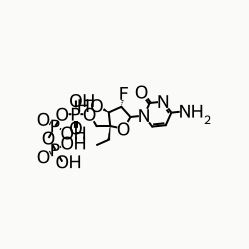 CC[C@]1(COP(=O)(O)OP(=O)(O)OP(=O)(O)O)OC(n2ccc(N)nc2=O)[C@@H](F)[C@@H]1O